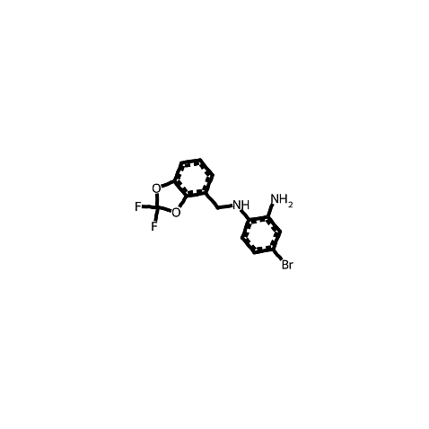 Nc1cc(Br)ccc1NCc1cccc2c1OC(F)(F)O2